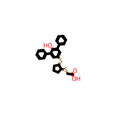 O=C(O)CSC1CCCC1Sc1cc(-c2ccccc2)c(O)c(-c2ccccc2)c1